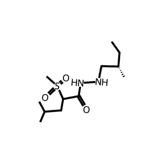 CC[C@H](C)CNNC(=O)C(CC(C)C)S(C)(=O)=O